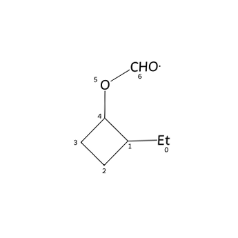 CCC1CCC1O[C]=O